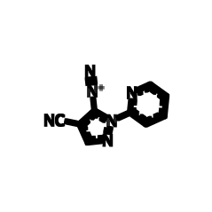 N#Cc1cnn(-c2ccccn2)c1[N+]#N